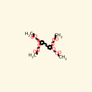 C=CC(=O)O/C=C/Oc1ccc(/C=C/c2ccc(O/C=C/OC(=O)C=C)c(O/C=C/OC(=O)C=C)c2)cc1O/C=C/OC(=O)C=C